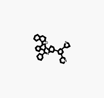 c1ccc(-c2nc3cc(-c4cc(-c5cccnc5)cc(-c5cccnc5)c4)ccc3c3c4oc5ccc6ccccc6c5c4c4ccccc4c23)cc1